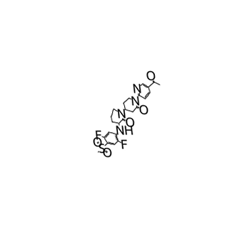 CC(=O)c1ccc(N2CCC(N3CCCC(Nc4cc(F)c(S(C)(=O)=O)cc4F)C3=O)CC2=O)nc1